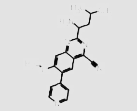 COc1cc2nc(C(N)CC(C)C)nc(C#N)c2cc1-c1ccncc1